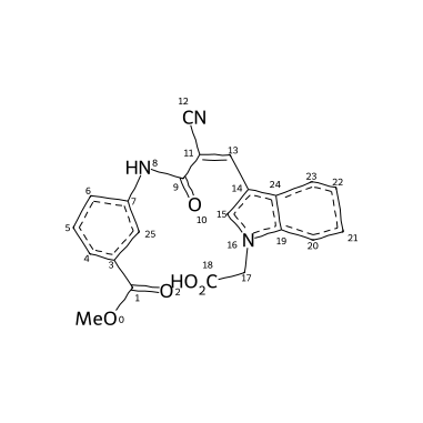 COC(=O)c1cccc(NC(=O)C(C#N)=Cc2cn(CC(=O)O)c3ccccc23)c1